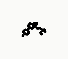 CCN(CC)CCn1ncc2ccc(C3CCN(C)CC3)cc21